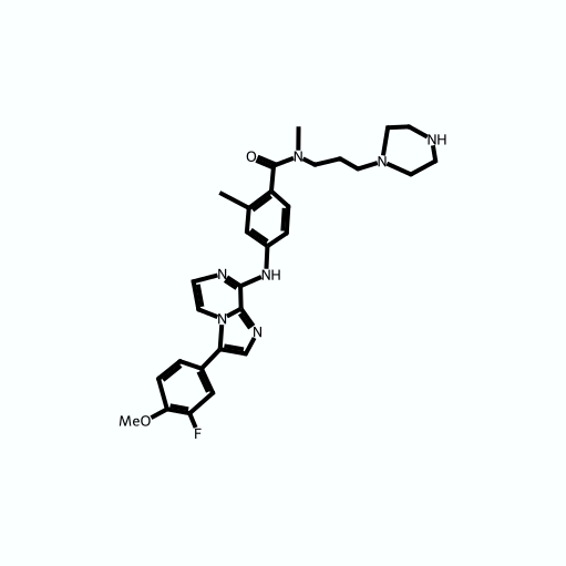 COc1ccc(-c2cnc3c(Nc4ccc(C(=O)N(C)CCCN5CCNCC5)c(C)c4)nccn23)cc1F